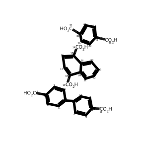 O=C(O)c1ccc(-c2ccc(C(=O)O)cc2)cc1.O=C(O)c1ccc(C(=O)O)c2ccccc12.O=C(O)c1ccc(C(=O)O)cc1